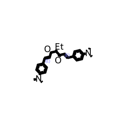 CCC(C(=O)/C=C/c1ccc(N(C)C)cc1)C(=O)/C=C/c1ccc(N(C)C)cc1